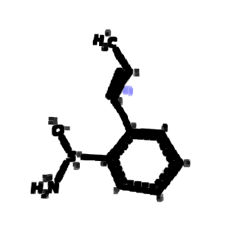 C/C=C/c1ccccc1[S+](N)[O-]